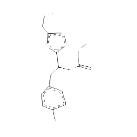 CSCc1nc(C(Cc2ccc(Cl)cc2)NC(=O)OC(C)(C)C)no1